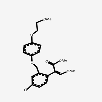 CO/C=C(\C(=O)OC)c1ccc(Cl)cc1COc1ccc(OCCOC)cc1